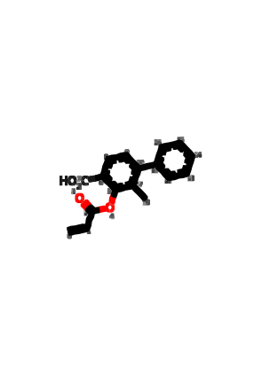 C=CC(=O)Oc1c(C(=O)O)ccc(-c2ccccc2)c1C